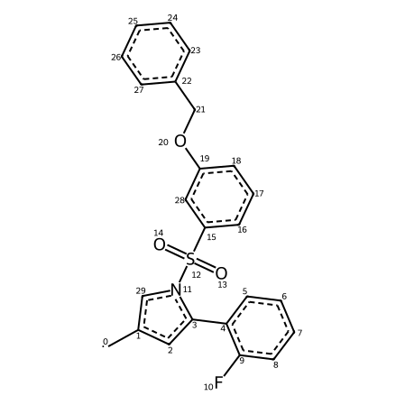 [CH2]c1cc(-c2ccccc2F)n(S(=O)(=O)c2cccc(OCc3ccccc3)c2)c1